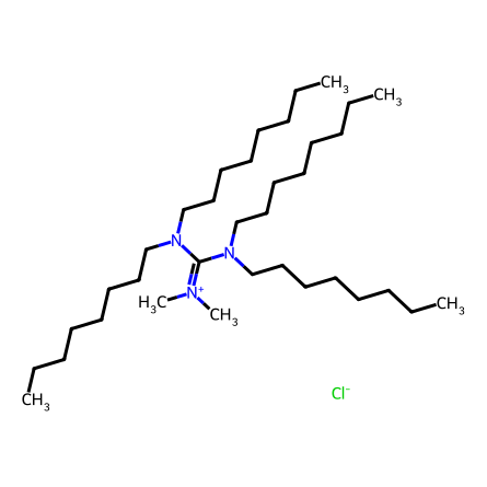 CCCCCCCCN(CCCCCCCC)C(N(CCCCCCCC)CCCCCCCC)=[N+](C)C.[Cl-]